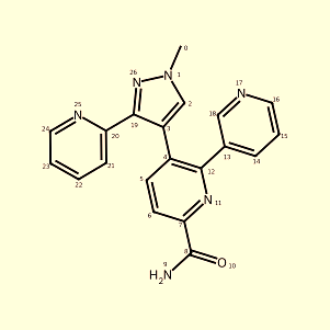 Cn1cc(-c2ccc(C(N)=O)nc2-c2cccnc2)c(-c2ccccn2)n1